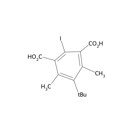 Cc1c(C(=O)O)c(I)c(C(=O)O)c(C)c1C(C)(C)C